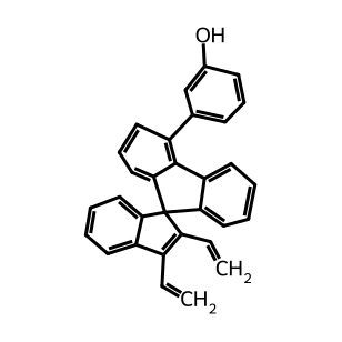 C=CC1=C(C=C)C2(c3ccccc31)c1ccccc1-c1c(-c3cccc(O)c3)cccc12